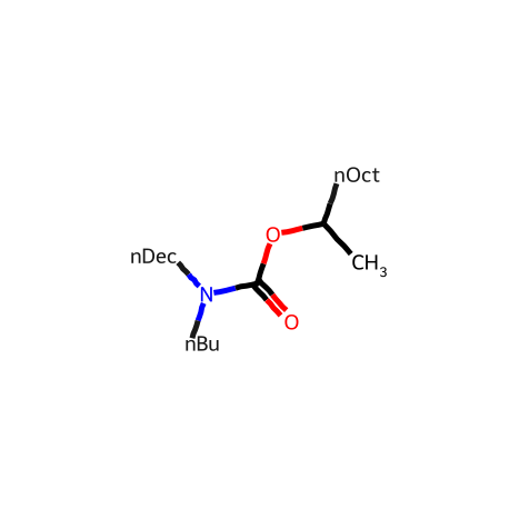 CCCCCCCCCCN(CCCC)C(=O)OC(C)CCCCCCCC